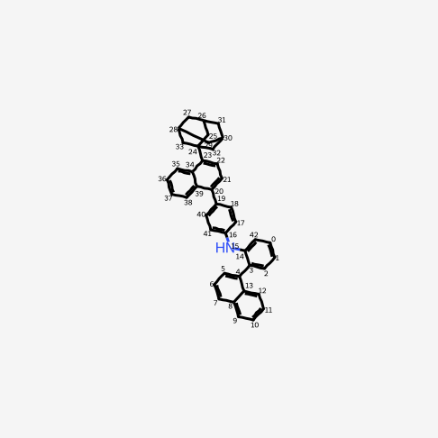 c1ccc(-c2cccc3ccccc23)c(Nc2ccc(-c3ccc(C45CC6CC(CC(C6)C4)C5)c4ccccc34)cc2)c1